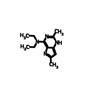 CCN(CC)c1nc(C)[nH]c2cc(C)nc1-2